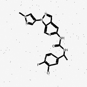 CC(NC(=O)Nc1cc2cnn(-c3cnn(C)c3)c2cn1)c1ccc(F)c(Cl)c1